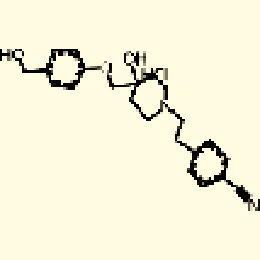 Cl.N#Cc1ccc(CCN2CCC(O)(COc3ccc(CO)cc3)CC2)cc1